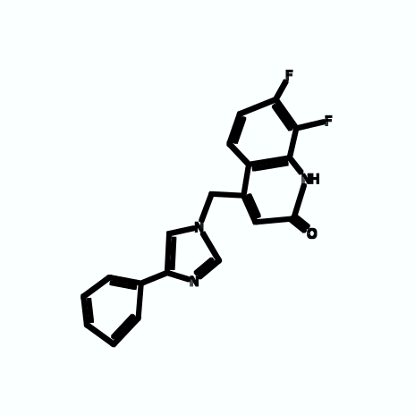 O=c1cc(Cn2cnc(-c3ccccc3)c2)c2ccc(F)c(F)c2[nH]1